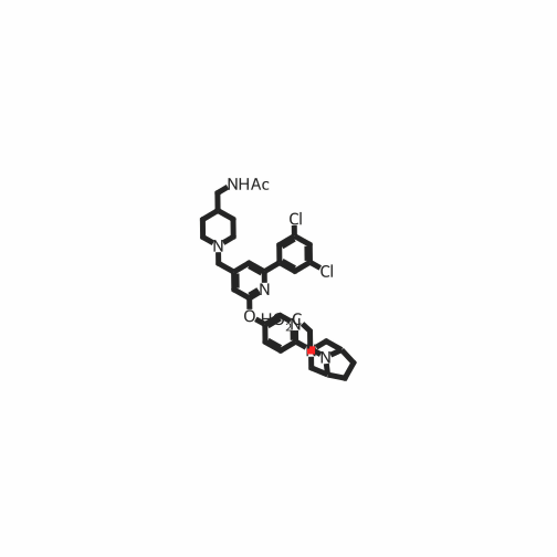 CC(=O)NCC1CCN(Cc2cc(Oc3ccc(N4CC5CCC(C4)N5CCC(=O)O)nc3)nc(-c3cc(Cl)cc(Cl)c3)c2)CC1